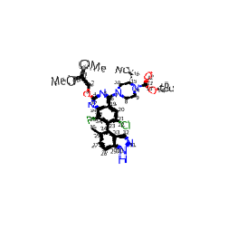 COC(COc1nc(N2CCN(C(=O)OC(C)(C)C)[C@@H](CC#N)C2)c2cc(Cl)c(-c3c(C)ccc4[nH]ncc34)c(F)c2n1)OC